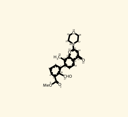 COC(=O)c1cccc(-c2ccc3c(=O)cc(N4CCOCC4)oc3c2C)c1C=O